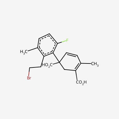 CC1=C(C(=O)O)CC(C(=O)O)(c2c(F)ccc(C)c2CCBr)C=C1